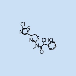 CN(C(=O)C(C=O)c1ccccc1)C1=NC(c2cnc(Cl)s2)CS1